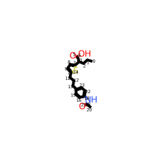 CCCC(C(=O)O)c1ccc(CCCc2ccc(NC(C)=O)cc2)s1